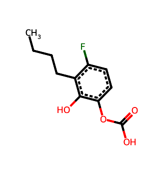 CCCCc1c(F)ccc(OC(=O)O)c1O